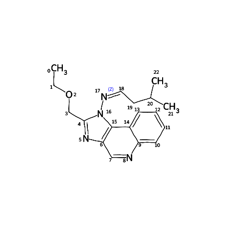 CCOCc1nc2cnc3ccccc3c2n1/N=C\CC(C)C